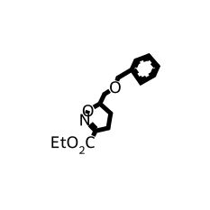 CCOC(=O)C1=NOC(COCc2ccccc2)CC1